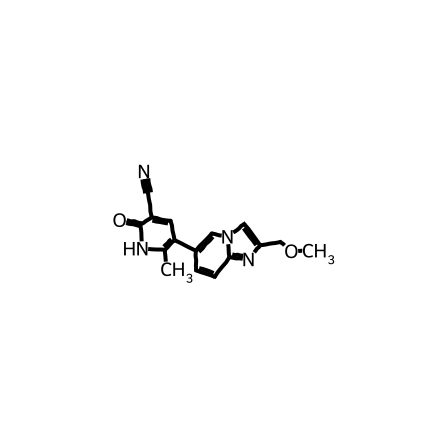 COCc1cn2cc(-c3cc(C#N)c(=O)[nH]c3C)ccc2n1